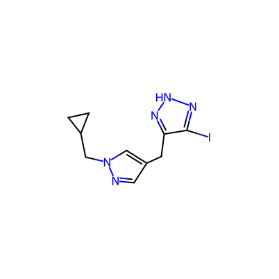 Ic1n[nH]nc1Cc1cnn(CC2CC2)c1